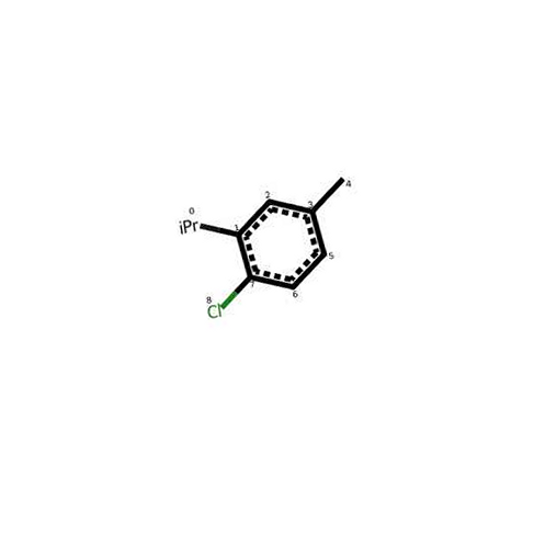 [CH2]C(C)c1cc(C)ccc1Cl